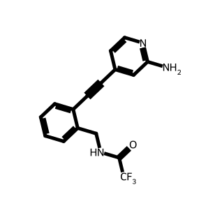 Nc1cc(C#Cc2ccccc2CNC(=O)C(F)(F)F)ccn1